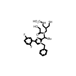 CC(C)(C)C(c1nc(-c2cc(F)ccc2F)cn1Cc1ccccc1)N(CC(CS)CNC(=O)O)C(=O)CO